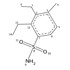 CCc1c(C)ccc(S(N)(=O)=O)c1CC